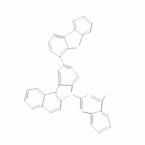 N#Cc1nc(-n2c3ccc(-c4cccc5c4sc4ccccc45)cc3c3c4ccccc4ccc32)nc2ccccc12